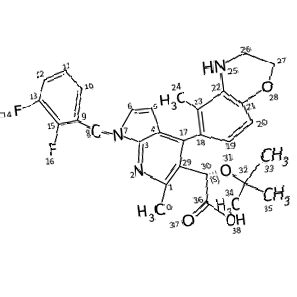 Cc1nc2c(ccn2Cc2cccc(F)c2F)c(-c2ccc3c(c2C)NCCO3)c1[C@H](OC(C)(C)C)C(=O)O